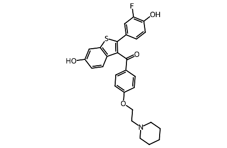 O=C(c1ccc(OCCN2CCCCC2)cc1)c1c(-c2ccc(O)c(F)c2)sc2cc(O)ccc12